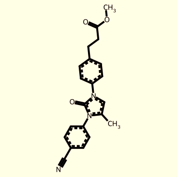 COC(=O)CCc1ccc(-n2cc(C)n(-c3ccc(C#N)cc3)c2=O)cc1